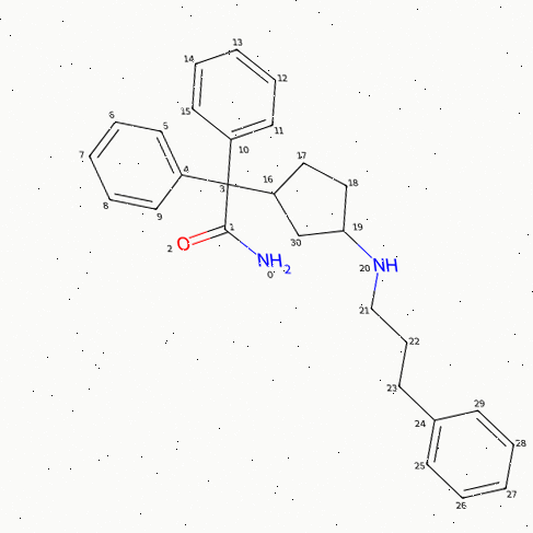 NC(=O)C(c1ccccc1)(c1ccccc1)C1CCC(NCCCc2ccccc2)C1